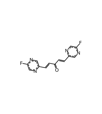 O=C(/C=C/c1cnc(F)cn1)/C=C/c1cnc(F)cn1